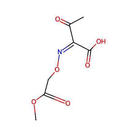 COC(=O)CON=C(C(C)=O)C(=O)O